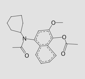 COc1cc(N(C(C)=O)C2CCCCC2)c2ccccc2c1OC(C)=O